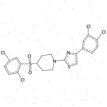 O=S(=O)(c1cc(Cl)ccc1Cl)C1CCN(c2nc(-c3ccc(Cl)c(Cl)c3)cs2)CC1